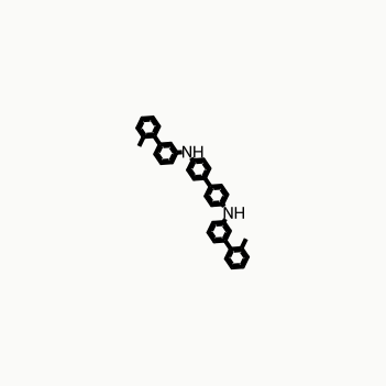 Cc1ccccc1-c1cccc(Nc2ccc(-c3ccc(Nc4cccc(-c5ccccc5C)c4)cc3)cc2)c1